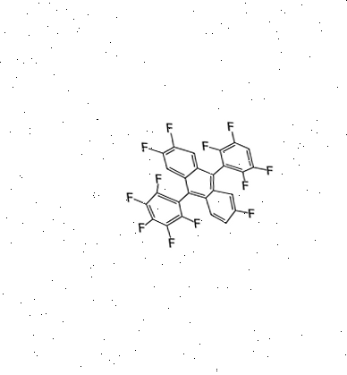 Fc1ccc2c(-c3c(F)c(F)c(F)c(F)c3F)c3cc(F)c(F)cc3c(-c3c(F)c(F)cc(F)c3F)c2c1